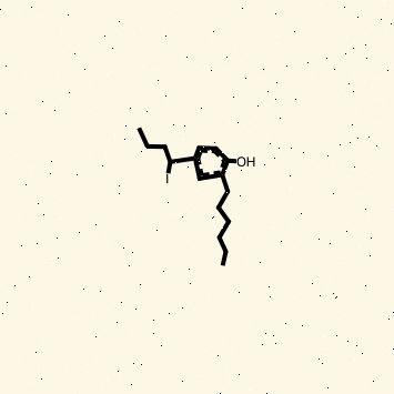 CCCCCCc1cc(C(I)CCC)ccc1O